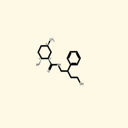 CC(C)[C@@H]1CC[C@@H](C)C[C@H]1C(=O)NCC(CCO)c1ccccc1